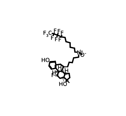 C[C@]1(O)CC[C@H]2[C@@H]3[C@H](CCCCC[N@+](C)([O-])CCCCCCC(F)(F)C(F)(F)C(F)(F)C(F)(F)F)Cc4cc(O)ccc4[C@H]3[C@@H](F)C[C@@]21C